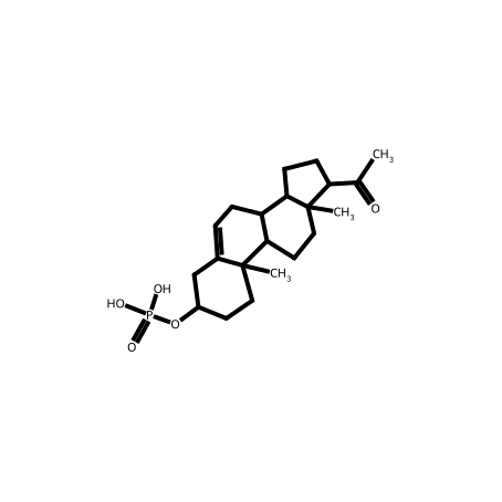 CC(=O)C1CCC2C3CC=C4CC(OP(=O)(O)O)CCC4(C)C3CCC12C